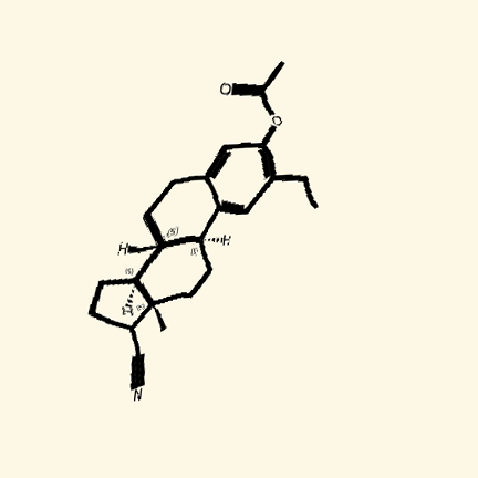 CCc1cc2c(cc1OC(C)=O)CC[C@@H]1[C@@H]2CC[C@]2(C)C(C#N)CC[C@@H]12